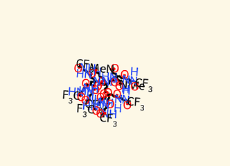 C#CCCCCC(=O)NC(CCC(=O)NC(CCC(=O)NC)(CCC(=O)NC)CCC(=O)NCCNC(=O)C(F)(F)F)(CCC(=O)NC(CCC(=O)NCCNC(=O)C(F)(F)F)(CCC(=O)NCCNC(=O)C(F)(F)F)CCC(=O)NCCNC(=O)C(F)(F)F)CCC(=O)OC(CCC(=O)NCCNC(=O)C(F)(F)F)(CCC(=O)NCCNC(=O)C(F)(F)F)CCC(=O)NCCNC(=O)C(F)(F)F